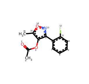 CC(=O)Oc1c(-c2ccccc2F)noc1C